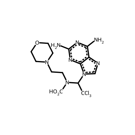 Nc1nc(N)c2ncn(C(N(CCN3CCOCC3)C(=O)O)C(Cl)(Cl)Cl)c2n1